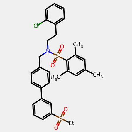 CCS(=O)(=O)c1cccc(-c2ccc(CN(CCc3ccccc3Cl)S(=O)(=O)c3c(C)cc(C)cc3C)cc2)c1